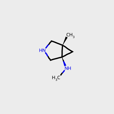 CN[C@@]12CNC[C@]1(C)C2